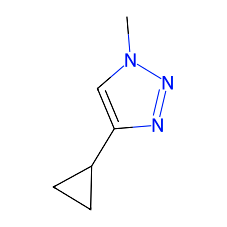 Cn1cc(C2CC2)nn1